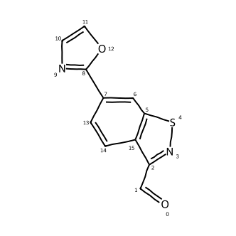 O=Cc1nsc2cc(-c3ncco3)ccc12